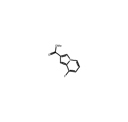 COC(=O)c1cc2c(F)cccn2c1